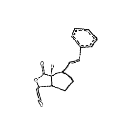 O=C1OC(=O)[C@@H]2C(/C=C/c3ccccc3)CCC12